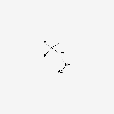 CC(=O)N[C@H]1CC1(F)F